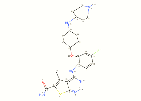 Cc1c(C(N)=O)sc2ncnc(Nc3ccc(F)cc3OC3CCC(NC4CCN(C)CC4)CC3)c12